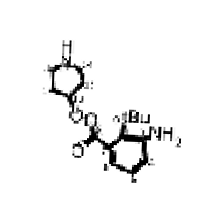 CC(C)(C)c1c(N)cccc1C(=O)OOC1CCNCC1